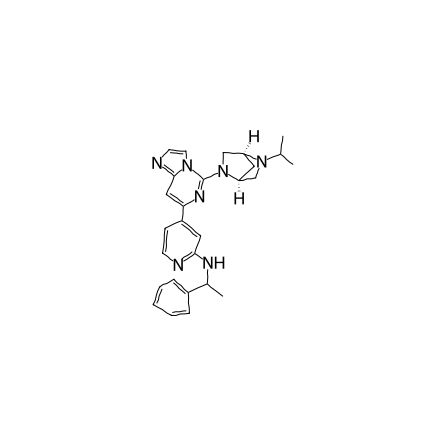 CC(Nc1cc(-c2cc3nccn3c(N3C[C@@H]4C[C@H]3CN4C(C)C)n2)ccn1)c1ccccc1